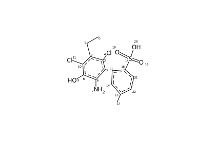 CCc1c(Cl)cc(N)c(O)c1Cl.Cc1ccc(S(=O)(=O)O)cc1